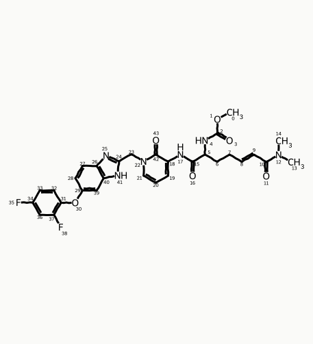 COC(=O)NC(CC/C=C/C(=O)N(C)C)C(=O)Nc1cccn(Cc2nc3ccc(Oc4ccc(F)cc4F)cc3[nH]2)c1=O